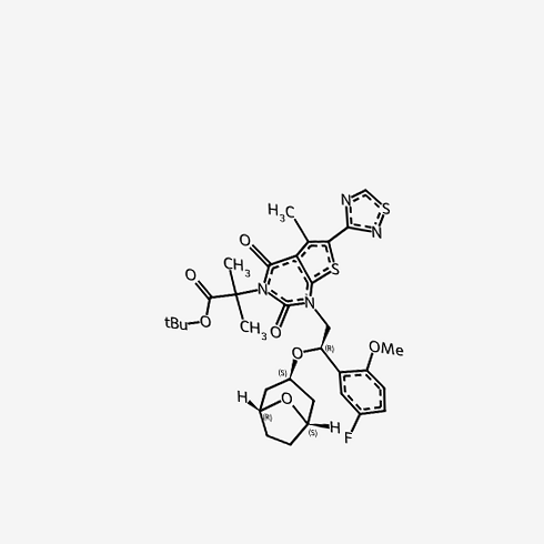 COc1ccc(F)cc1[C@H](Cn1c(=O)n(C(C)(C)C(=O)OC(C)(C)C)c(=O)c2c(C)c(-c3ncsn3)sc21)O[C@@H]1C[C@H]2CC[C@@H](C1)O2